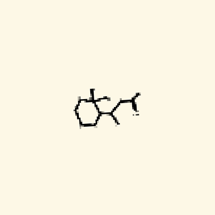 CC(=O)CC(C)C1CCCCC1(C)C